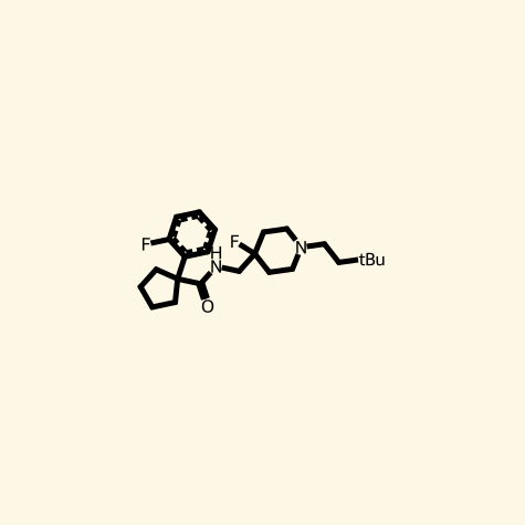 CC(C)(C)CCN1CCC(F)(CNC(=O)C2(c3ccccc3F)CCCC2)CC1